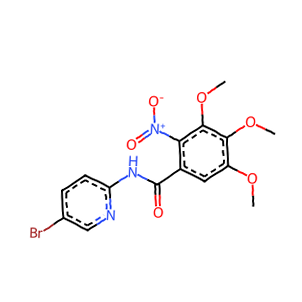 COc1cc(C(=O)Nc2ccc(Br)cn2)c([N+](=O)[O-])c(OC)c1OC